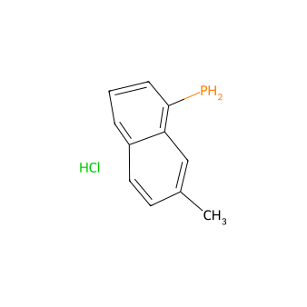 Cc1ccc2cccc(P)c2c1.Cl